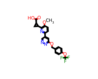 COc1ccc(-c2cnnc(OCc3ccc(OC(F)(F)F)cc3)c2)nc1C1CC1C(=O)O